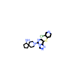 N[C@@H]1CCCC12CCN(c1ncc(Sc3ccncc3Cl)c3nncn13)CC2